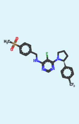 CS(=O)(=O)c1ccc(CNc2ncnc(N3CCC[C@@H]3c3ccc(C(F)(F)F)cc3)c2F)cc1